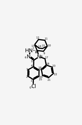 Clc1ccc(C2=NN[C@]3(CC4CCC3CC4)N2Cc2ccccc2)cc1